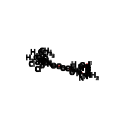 CCOc1cc(C(C)(C)C)ccc1C1=N[C@]2(c3ccc(Cl)cc3)c3cc(Cl)ccc3[C@@]2(C)N1C(=O)N1CCN(CCOCCOCCOCCOCCC(=O)NCCn2nc(C#N)c3c2CN(C)C(=O)c2ccc(F)cc2[C@H]2CCCN2c2cc-3cnc2N)CC1